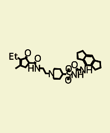 CCC1=C(C)CC(C(=O)NCCN2CCC(S(=O)(=O)NC(=O)Nc3c4c(cc5c3CCC5)CCC4)CC2)C1=O